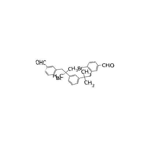 CC(C)(Cc1cc(C=O)ccc1Br)c1cccc(C(C)(C)Cc2cc(C=O)ccc2Br)c1